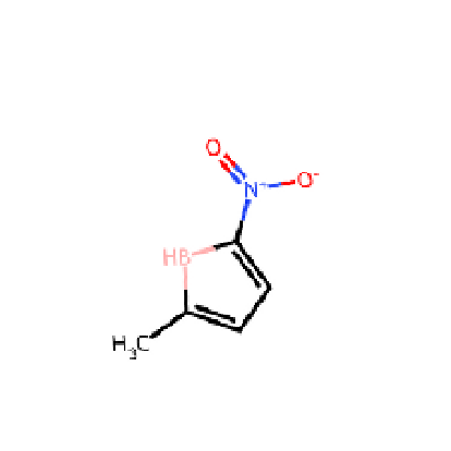 CC1=CC=C([N+](=O)[O-])B1